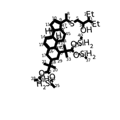 CCC(CC)C(O)CSC(C)C1=CC[C@H]2C3=CC=C4CC(C(C)(C)C(O[SiH2]C)O[SiH2]C)CC(C(C)(C)C(O[SiH2]C)O[SiH2]C)[C@]4(C)[C@H]3CC[C@]12C